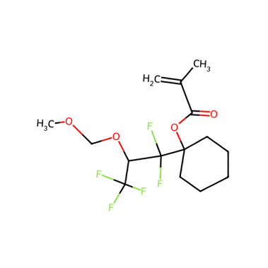 C=C(C)C(=O)OC1(C(F)(F)C(OCOC)C(F)(F)F)CCCCC1